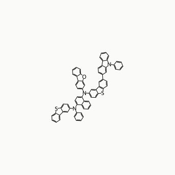 c1ccc(N(c2ccc3sc4ccccc4c3c2)c2ccc(N(c3ccc4c(c3)oc3ccccc34)c3ccc4sc5ccc(-c6ccc7c8ccccc8n(-c8ccccc8)c7c6)cc5c4c3)c3ccccc23)cc1